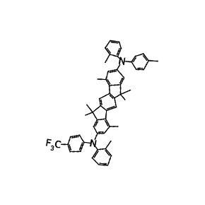 Cc1ccc(N(c2cc(C)c3c(c2)C(C)(C)c2cc4c(cc2-3)C(C)(C)c2cc(N(c3ccc(C(F)(F)F)cc3)c3ccccc3C)cc(C)c2-4)c2ccccc2C)cc1